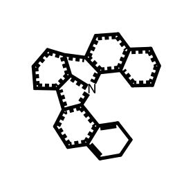 C1=c2ccc3c4cccc5c6ccc7ccccc7c6n(c3c2=CCC1)c45